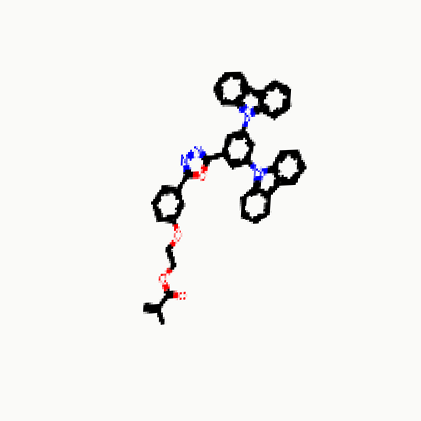 C=C(C)C(=O)OCCOc1cccc(-c2nnc(-c3cc(-n4c5ccccc5c5ccccc54)cc(-n4c5ccccc5c5ccccc54)c3)o2)c1